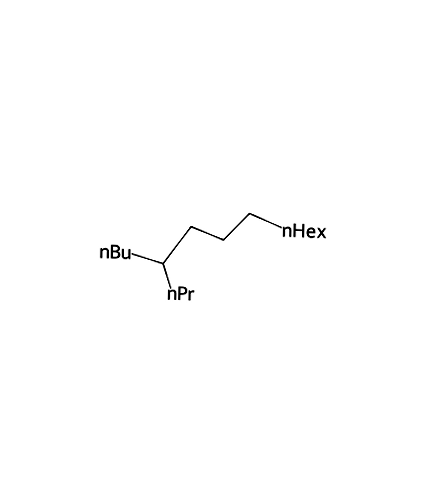 [CH2]CCCC(CCC)CCCCCCCCC